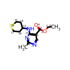 CCOC(=O)c1cnc(C)nc1NC1CCSCC1